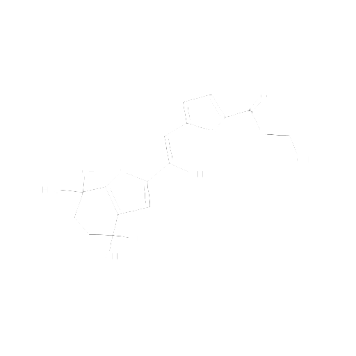 CCOC(=O)c1ccc(C=C(C)c2cc3c(s2)C(C)(C)CCC3(C)C)s1